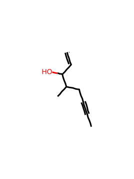 [CH]=CC(O)C(C)CC#CC